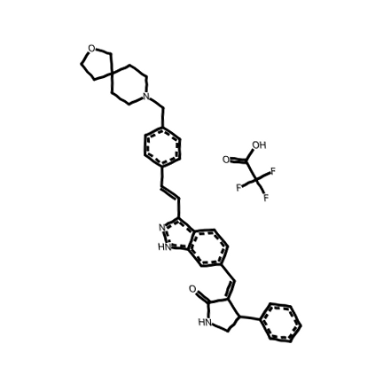 O=C(O)C(F)(F)F.O=C1NCC(c2ccccc2)C1=Cc1ccc2c(/C=C/c3ccc(CN4CCC5(CCOC5)CC4)cc3)n[nH]c2c1